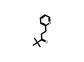 CC(C)(C)C(=O)CCc1ccccn1